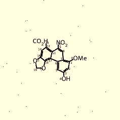 COc1cc(O)cc2c1cc([N+](=O)[O-])c1c(C(=O)O)cc3c(c12)OCO3